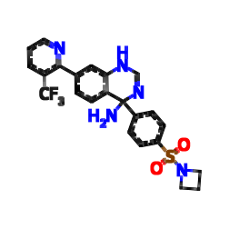 NC1(c2ccc(S(=O)(=O)N3CCC3)cc2)N=CNc2cc(-c3ncccc3C(F)(F)F)ccc21